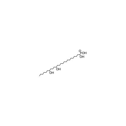 CCCCCCC(O)CCCC(O)CCCCCCCCCCCCCC(O)C(=O)O